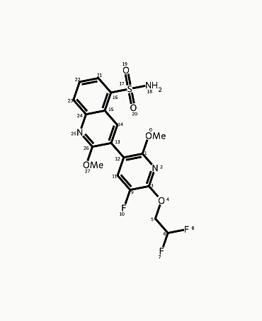 COc1nc(OCC(F)F)c(F)cc1-c1cc2c(S(N)(=O)=O)cccc2nc1OC